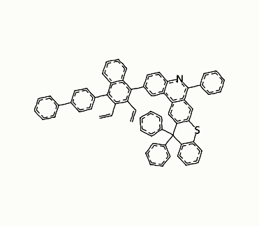 C=Cc1c(C=C)c(-c2ccc3nc(-c4ccccc4)c4cc5c(cc4c3c2)C(c2ccccc2)(c2ccccc2)c2ccccc2S5)c2ccccc2c1-c1ccc(-c2ccccc2)cc1